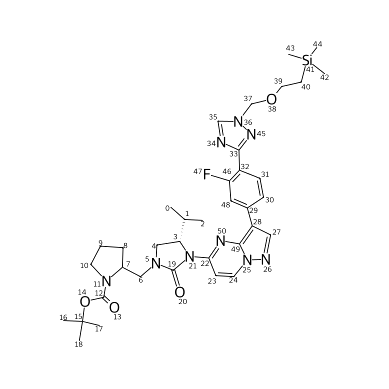 CC(C)[C@H]1CN(CC2CCCN2C(=O)OC(C)(C)C)C(=O)N1c1ccn2ncc(-c3ccc(-c4ncn(COCC[Si](C)(C)C)n4)c(F)c3)c2n1